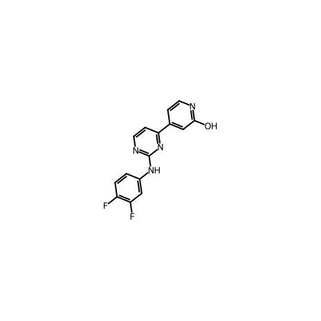 Oc1cc(-c2ccnc(Nc3ccc(F)c(F)c3)n2)ccn1